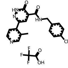 Cc1cnccc1-c1cc(C(=O)NCc2ccc(Cl)cc2)c(=O)[nH]n1.O=C(O)C(F)(F)F